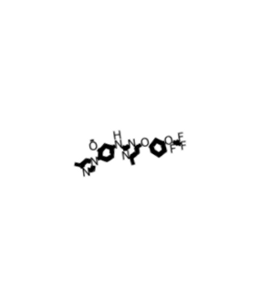 COc1cc(Nc2nc(C)cc(Oc3cccc(OC(F)(F)F)c3)n2)ccc1-n1cnc(C)c1